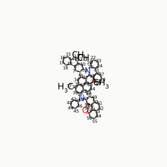 Cc1cc(N(c2ccc3c(c2)C(C)(C)c2ccccc2-3)c2ccccc2-c2ccccc2)c2ccc3c(C)cc(N(c4ccccc4)c4ccc5ccc6cccc7oc4c5c67)c4ccc1c2c34